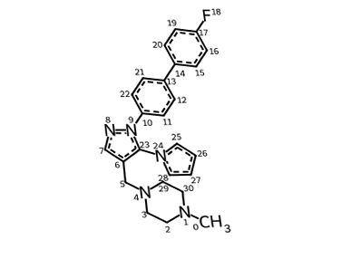 CN1CCN(Cc2cnn(-c3ccc(-c4ccc(F)cc4)cc3)c2-n2cccc2)CC1